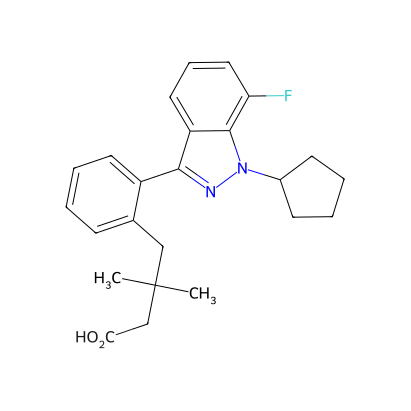 CC(C)(CC(=O)O)Cc1ccccc1-c1nn(C2CCCC2)c2c(F)cccc12